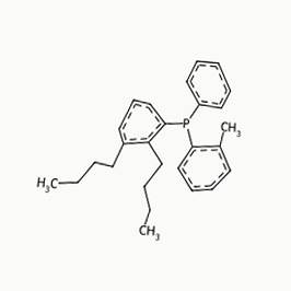 CCCCc1cccc(P(c2ccccc2)c2ccccc2C)c1CCCC